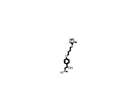 CC(=O)N(C)C[C@H](O)c1ccc(OCCCCSc2nnnn2C)cc1